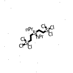 CCC[Si](CCC)(CC[Si](Cl)(Cl)Cl)CC[Si](Cl)(Cl)Cl